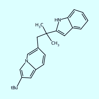 CC(C)(C)c1cc2ccc(CC(C)(C)c3cc4ccccc4[nH]3)cn2c1